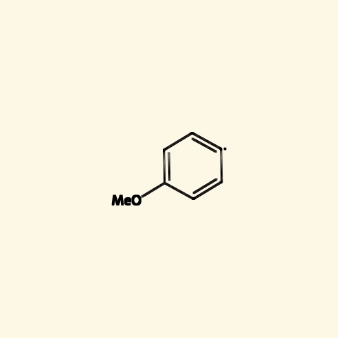 COc1cc[c]cc1